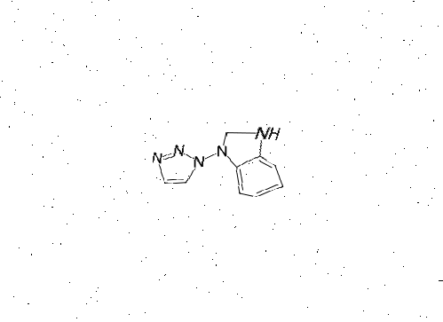 c1ccc2c(c1)NCN2n1ccnn1